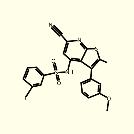 COc1cccc(-c2c(C)sc3nc(C#N)cc(NS(=O)(=O)c4cccc(I)c4)c23)c1